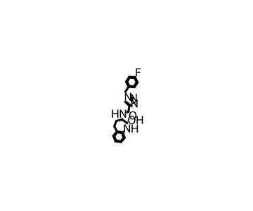 O=C(N[C@H]1CCc2ccccc2NC1O)c1cn(Cc2ccc(F)cc2)nn1